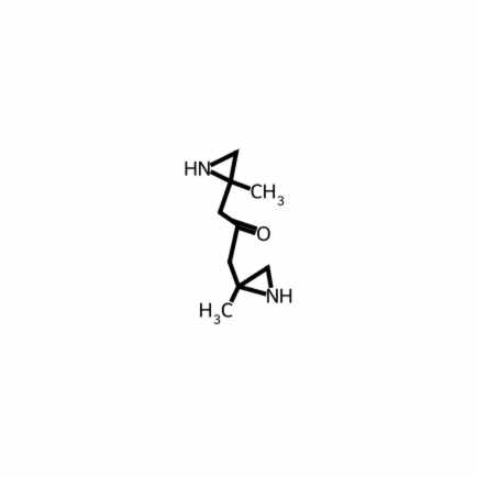 CC1(CC(=O)CC2(C)CN2)CN1